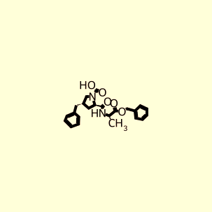 C[C@H](NC(=O)[C@H]1C[C@H](Cc2ccccc2)CN1C(=O)O)C(=O)OCc1ccccc1